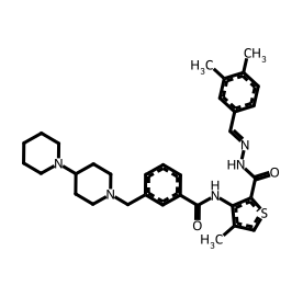 Cc1ccc(/C=N/NC(=O)c2scc(C)c2NC(=O)c2cccc(CN3CCC(N4CCCCC4)CC3)c2)cc1C